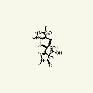 CN1N=C(c2ccc(S(C)(=O)=O)c(N(C)C)c2)C(C)(N(O)C(=O)O)C1=O